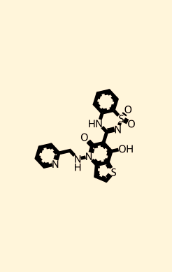 O=c1c(C2=NS(=O)(=O)c3ccccc3N2)c(O)c2sccc2n1NCc1ccccn1